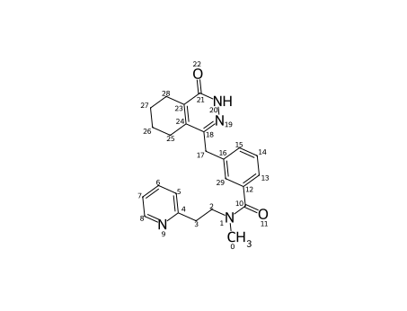 CN(CCc1ccccn1)C(=O)c1cccc(Cc2n[nH]c(=O)c3c2CCCC3)c1